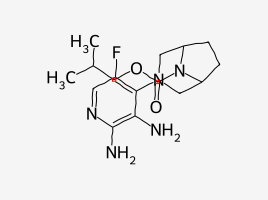 CC(C)COC(=O)N1C2CCC1CN(c1c(F)cnc(N)c1N)C2